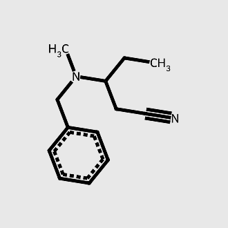 CCC(CC#N)N(C)Cc1ccccc1